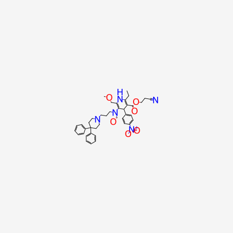 CCC1=C(C(=O)OCCC#N)C(c2ccc([N+](=O)[O-])cc2)C(N(C=O)CCCN2CCC(c3ccccc3)(c3ccccc3)CC2)=C(COC)N1